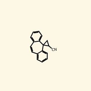 N#CC1CC12c1ccccc1C=Cc1ccccc12